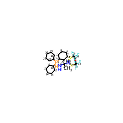 CC(C)(N[PH](C1CCCCC1)(C1CCCCC1)C1CCCCC1)N(SC(F)(F)F)SC(F)(F)F